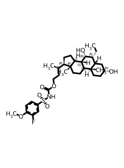 CC[C@H]1[C@@H](O)[C@@H]2[C@H](CC[C@]3(C)[C@@H]([C@H](C)CCOC(=O)NS(=O)(=O)c4ccc(OC)c(F)c4)CC[C@@H]23)[C@@]2(C)CC[C@@H](O)C[C@@H]12